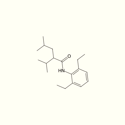 CCc1cccc(CC)c1NC(=O)C(CC(C)C)C(C)C